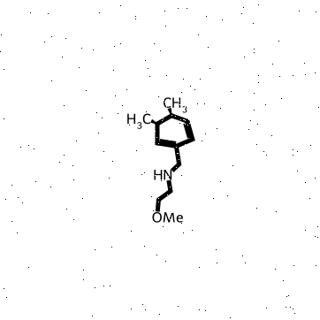 COCCNCC1=C[C@@H](C)[C@@H](C)C=C1